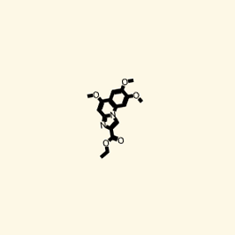 CCOC(=O)c1cn2c(cc(OC)c3cc(OC)c(OC)cc32)n1